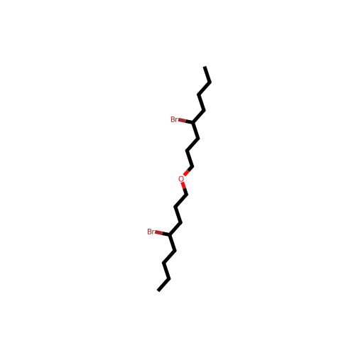 CCCCC(Br)CCCOCCCC(Br)CCCC